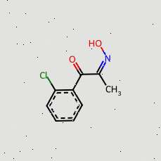 C/C(=N/O)C(=O)c1ccccc1Cl